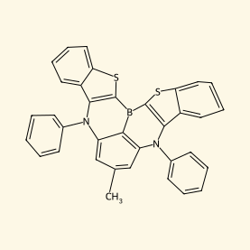 Cc1cc2c3c(c1)N(c1ccccc1)c1c(sc4ccccc14)B3c1sc3ccccc3c1N2c1ccccc1